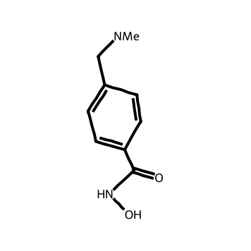 CNCc1ccc(C(=O)NO)cc1